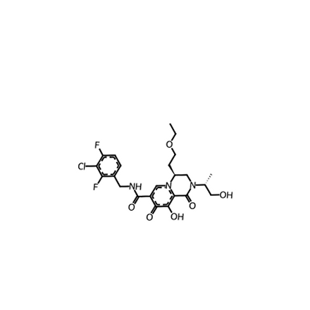 CCOCC[C@H]1CN([C@H](C)CO)C(=O)c2c(O)c(=O)c(C(=O)NCc3ccc(F)c(Cl)c3F)cn21